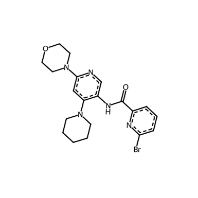 O=C(Nc1cnc(N2CCOCC2)cc1N1CCCCC1)c1cccc(Br)n1